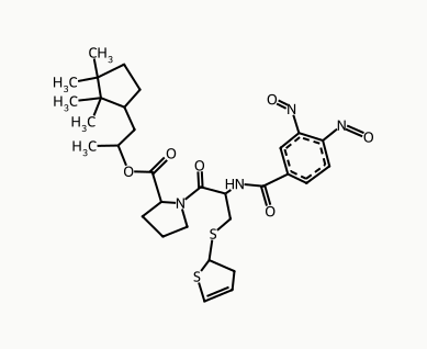 CC(CC1CCC(C)(C)C1(C)C)OC(=O)C1CCCN1C(=O)C(CSC1CC=CS1)NC(=O)c1ccc(N=O)c(N=O)c1